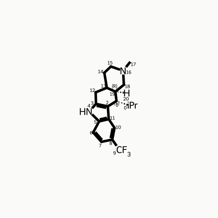 CC(C)[C@@H]1c2c([nH]c3ccc(C(F)(F)F)cc23)CC2CCN(C)C[C@H]21